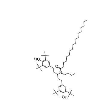 CCCCCCCCCCCCCCCCCC(=O)N(CCCC)C(CCc1cc(C(C)(C)C)c(O)c(C(C)(C)C)c1)CCc1cc(C(C)(C)C)c(O)c(C(C)(C)C)c1